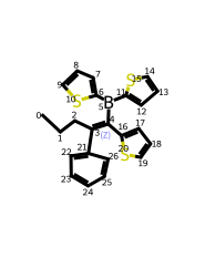 CCC/C(=C(\B(c1cccs1)c1cccs1)c1cccs1)c1ccccc1